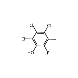 Cc1c(F)c(O)c(Cl)c(Cl)c1Cl